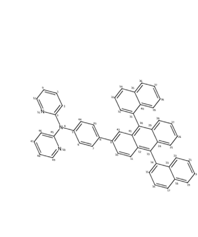 c1ccc(N(c2ccc(-c3ccc4c(-c5cccc6ccccc56)c5ccccc5c(-c5cccc6ccccc56)c4c3)cc2)c2ccccn2)nc1